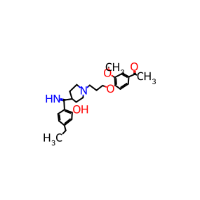 CCc1ccc(C(=N)C2CCN(CCCOc3ccc(C(C)=O)cc3OC)CC2)c(O)c1